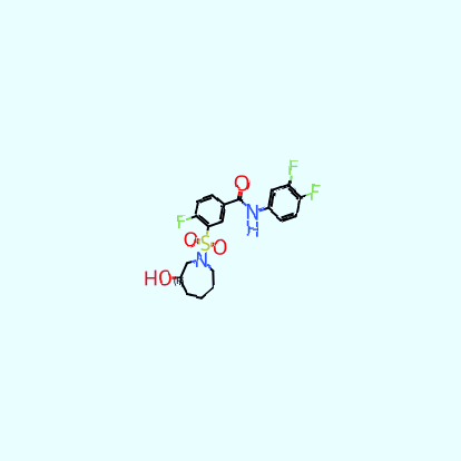 O=C(Nc1ccc(F)c(F)c1)c1ccc(F)c(S(=O)(=O)N2CCCC[C@@H](O)C2)c1